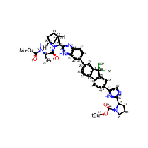 COC(=O)NC(C(=O)N1[C@@H]2CC[C@@H](C2)[C@H]1c1nc2ccc(-c3ccc4c(c3)C(F)(F)c3cc(-c5cnc(C6CCCN6C(=O)OC(C)(C)C)[nH]5)ccc3-4)cc2[nH]1)C(C)C